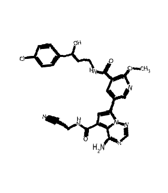 COc1ncc(-c2cc(C(=O)NCC#N)c3c(N)ncnn23)cc1C(=O)NCCC(O)c1ccc(Cl)cc1